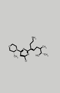 CC(C/C=C(\CCN)c1nc(Cl)cc(N2CCOC[C@H]2C)n1)[C@H](C)O